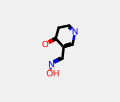 O=C1CC=NC=C1C=NO